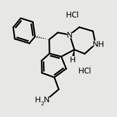 Cl.Cl.NCc1ccc2c(c1)[C@H]1CNCCN1C[C@H]2c1ccccc1